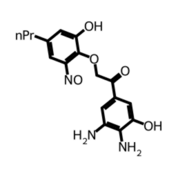 CCCc1cc(O)c(OCC(=O)c2cc(N)c(N)c(O)c2)c(N=O)c1